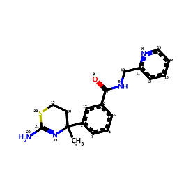 CC1(c2cccc(C(=O)NCc3ccccn3)c2)CCSC(N)=N1